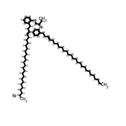 CCCCCCCCCCCCCCCCCCCCCCC/C=C/CCc1ccccc1/N=C(\C=N\c1ccccc1CC/C=C/CCCCCCCCCCCCCCCCCCCCCCC)CC.[Ni]